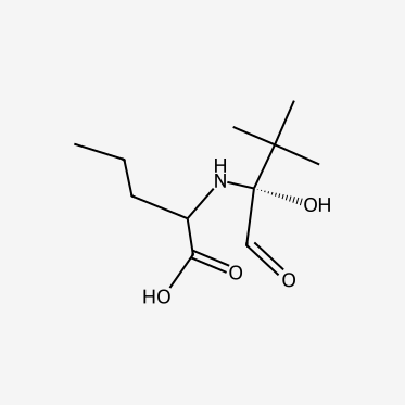 CCCC(N[C@](O)(C=O)C(C)(C)C)C(=O)O